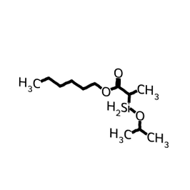 CCCCCCOC(=O)C(C)[SiH2]OC(C)C